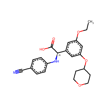 CCOc1cc(OC2CCOCC2)cc([C@@H](Nc2ccc(C#N)cc2)C(=O)O)c1